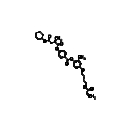 C=CC(=O)OCCCCOc1ccc(OC(=O)c2ccc(OC(=O)C(=C)CC(=O)OC3CCCCC3)cc2)c(C)c1